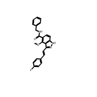 COc1c(C(=O)NCc2ccccc2)ccc2[nH]nc(/C=C/c3ccc(F)cc3)c12